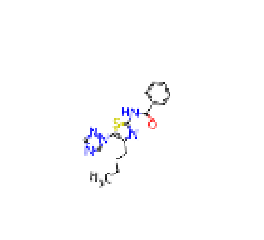 CCCCc1nc(NC(=O)c2ccccc2)sc1-n1cncn1